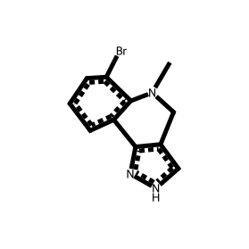 CN1Cc2c[nH]nc2-c2cccc(Br)c21